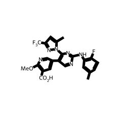 COc1ncc(-c2cnc(Nc3cc(C)ccc3F)nc2-n2nc(C(F)(F)F)cc2C)cc1C(=O)O